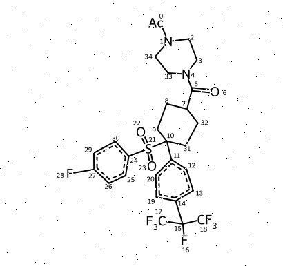 CC(=O)N1CCN(C(=O)C2CCC(c3ccc(C(F)(C(F)(F)F)C(F)(F)F)cc3)(S(=O)(=O)c3ccc(F)cc3)CC2)CC1